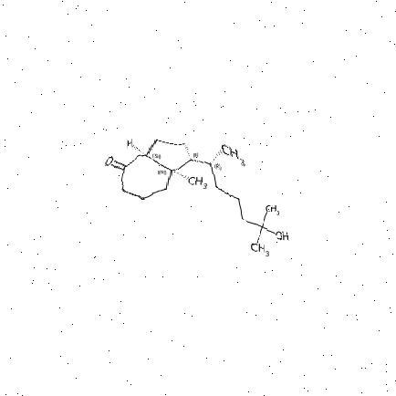 C[C@H](CCCC(C)(C)O)[C@H]1CC[C@@H]2C(=O)CCC[C@@]21C